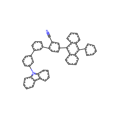 N#Cc1cc(-c2c3ccccc3c(-c3ccccc3)c3ccccc23)ccc1-c1cccc(-c2cccc(-n3c4ccccc4c4ccccc43)c2)c1